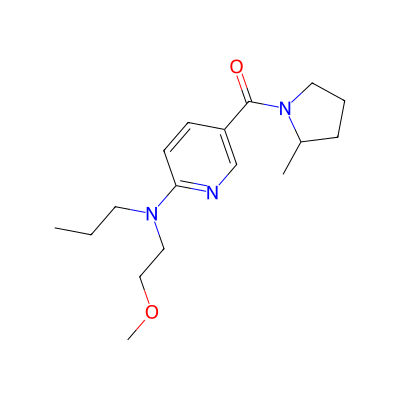 CCCN(CCOC)c1ccc(C(=O)N2CCCC2C)cn1